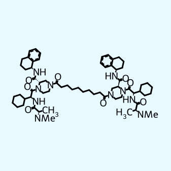 CN[C@@H](C)C(=O)N[C@H](C(=O)N1CCN(C(=O)CCCCCCCCC(=O)N2CCN(C(=O)[C@@H](NC(=O)[C@H](C)NC)C3CCCCC3)[C@H](C(=O)N[C@@H]3CCCc4ccccc43)C2)C[C@H]1C(=O)N[C@@H]1CCCc2ccccc21)C1CCCCC1